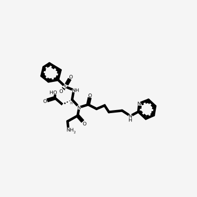 NCC(=O)N(C(=O)CCCCNc1ccccn1)[C@H](CC(=O)O)NS(=O)(=O)c1ccccc1